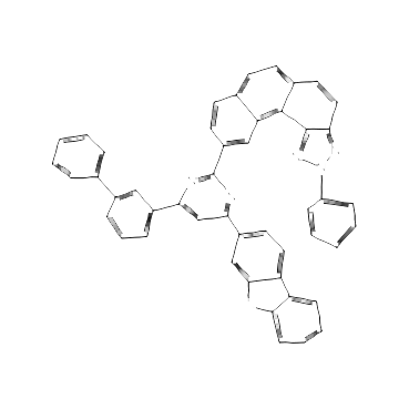 c1ccc(-c2cccc(-c3cc(-c4ccc5c(c4)oc4ccccc45)nc(-c4ccc5ccc6ccc7nn(-c8ccccc8)nc7c6c5c4)n3)c2)cc1